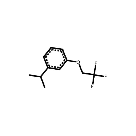 CC(C)c1cccc(OCC(F)(F)F)c1